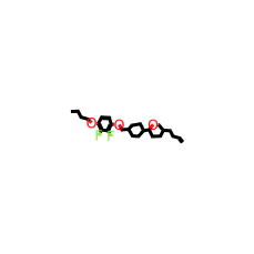 C=CCCC1CCC(C2CCC(COc3ccc(OCCCC)c(F)c3F)CC2)OC1